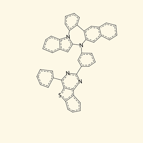 c1ccc(-c2nc(-c3cccc(N4c5cc6ccccc6cc5-c5ccccc5-n5c4cc4ccccc45)c3)nc3c2sc2ccccc23)cc1